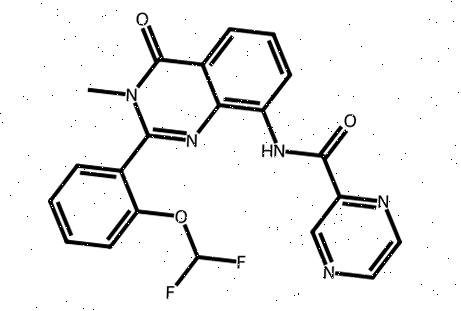 Cn1c(-c2ccccc2OC(F)F)nc2c(NC(=O)c3cnccn3)cccc2c1=O